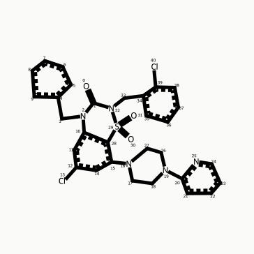 O=C1N(Cc2ccccc2)c2cc(Cl)cc(N3CCN(c4ccccn4)CC3)c2S(=O)(=O)N1Cc1ccccc1Cl